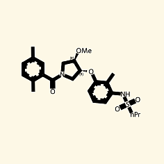 CCCS(=O)(=O)Nc1cccc(O[C@@H]2CN(C(=O)c3cc(C)ccc3C)C[C@H]2OC)c1C